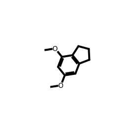 COc1cc2c(c(OC)c1)CCC2